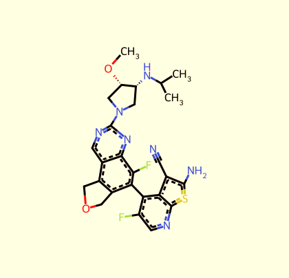 CO[C@H]1CN(c2ncc3c4c(c(-c5c(F)cnc6sc(N)c(C#N)c56)c(F)c3n2)COC4)C[C@H]1NC(C)C